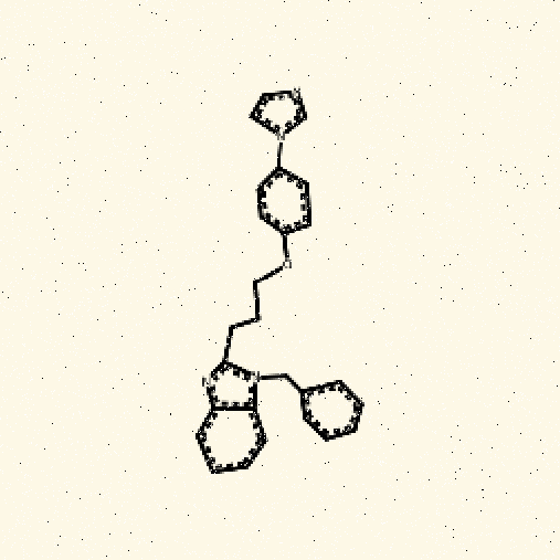 c1ccc(Cn2c(CCCOc3ccc(-n4ccnc4)cc3)nc3ccccc32)cc1